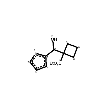 CCOC(=O)C1(C(O)c2cccs2)CCC1